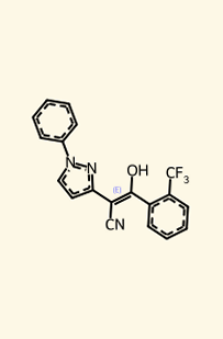 N#C/C(=C(/O)c1ccccc1C(F)(F)F)c1ccn(-c2ccccc2)n1